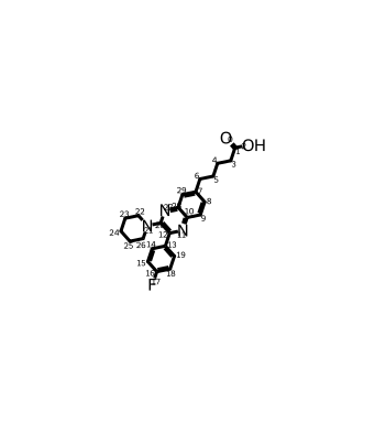 O=C(O)CCCCc1ccc2nc(-c3ccc(F)cc3)c(N3CCCCC3)nc2c1